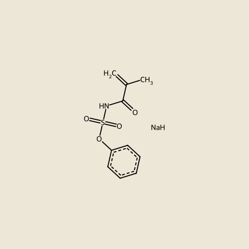 C=C(C)C(=O)NS(=O)(=O)Oc1ccccc1.[NaH]